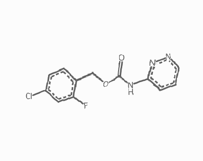 O=C(Nc1cccnn1)OCc1ccc(Cl)cc1F